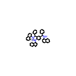 CN(c1ccc(C(Nc2cccc3ccccc23)c2ccccc2)cc1C(Nc1cccc2ccccc12)c1ccccc1)c1cccc2ccccc12